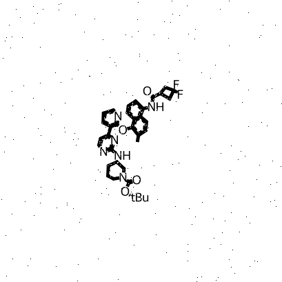 Cc1ccc2c(NC(=O)C3CC(F)(F)C3)cccc2c1Oc1ncccc1-c1ccnc(N[C@H]2CCCN(C(=O)OC(C)(C)C)C2)n1